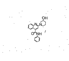 CC.O=C(Nc1ccccc1)c1cc(N2CCCC(O)C2)nc2ccccc12